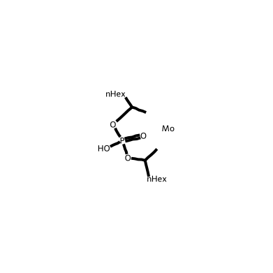 CCCCCCC(C)OP(=O)(O)OC(C)CCCCCC.[Mo]